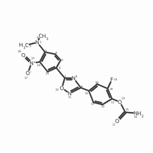 CN(C)c1ccc(-c2nc(-c3ccc(OC(N)=O)c(F)c3)no2)cc1[N+](=O)[O-]